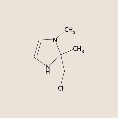 CN1C=CNC1(C)CCl